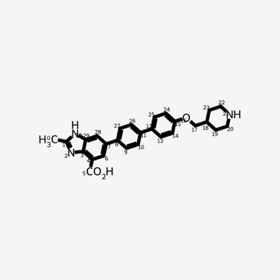 Cc1nc2c(C(=O)O)cc(-c3ccc(-c4ccc(OCC5CCNCC5)cc4)cc3)cc2[nH]1